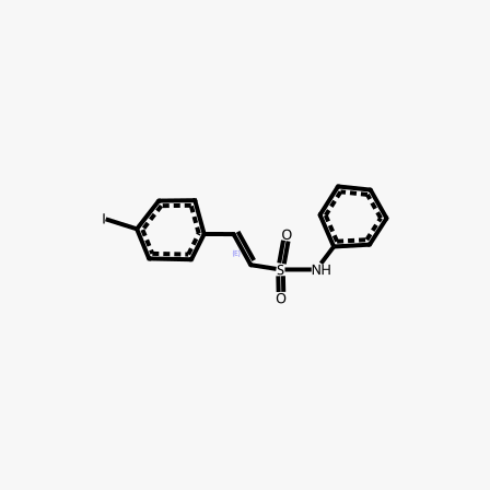 O=S(=O)(/C=C/c1ccc(I)cc1)Nc1ccccc1